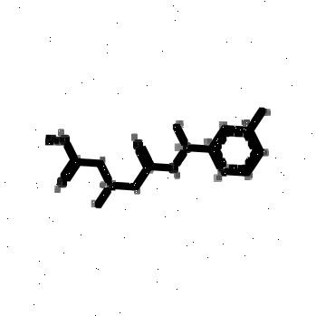 COC(=O)CN(C)CC(=O)OB(C)c1cc(C)ccn1